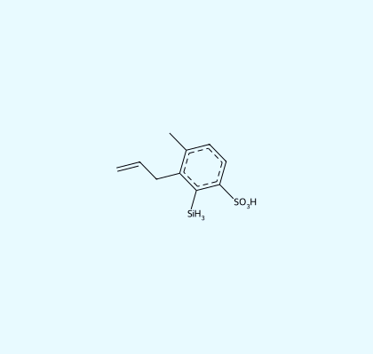 C=CCc1c(C)ccc(S(=O)(=O)O)c1[SiH3]